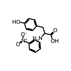 NC(Cc1ccc(O)cc1)C(=O)O.O=[N+]([O-])c1ccccc1